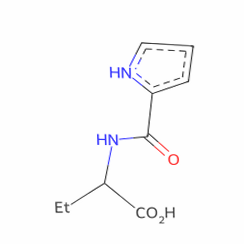 CCC(NC(=O)c1ccc[nH]1)C(=O)O